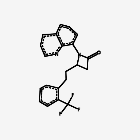 O=C1CC(CCc2ccccc2C(F)(F)F)N1c1cccc2cccnc12